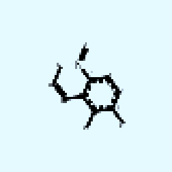 C=Nc1ccc(C)c(C)c1/C=C\C